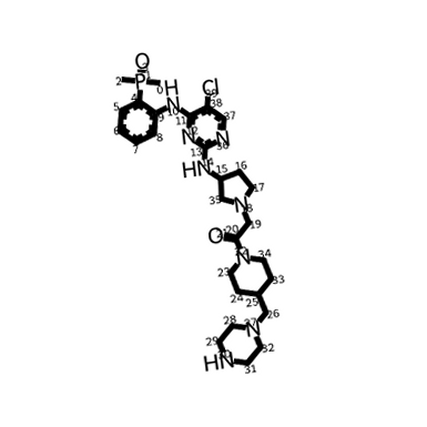 CP(C)(=O)c1ccccc1Nc1nc(NC2CCN(CC(=O)N3CCC(CN4CCNCC4)CC3)C2)ncc1Cl